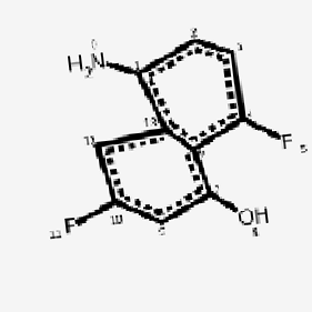 Nc1ccc(F)c2c(O)cc(F)cc12